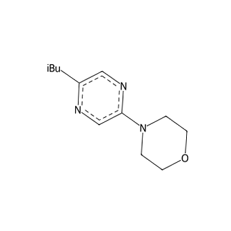 CCC(C)c1cnc(N2CCOCC2)cn1